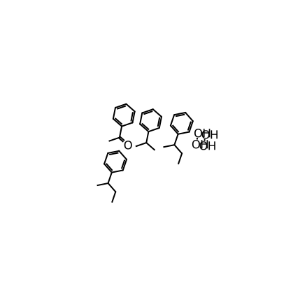 CC(=O)c1ccccc1.CC(C)c1ccccc1.CCC(C)c1ccccc1.CCC(C)c1ccccc1.OO.OO